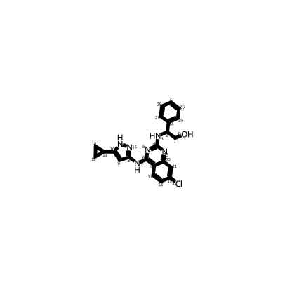 OCC(Nc1nc(Nc2cc(C3CC3)[nH]n2)c2ccc(Cl)cc2n1)c1ccccc1